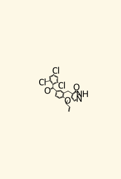 C=CCOc1ccc(C(=O)c2c(Cl)cc(Cl)cc2Cl)cc1Cc1ccn[nH]c1=O